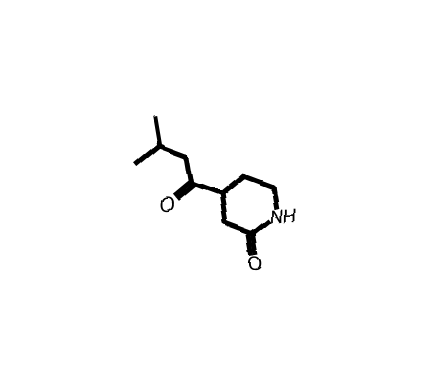 CC(C)CC(=O)C1CCNC(=O)C1